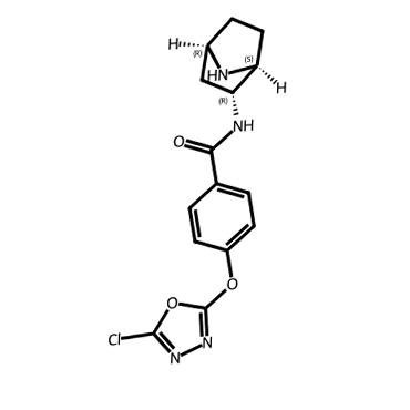 O=C(N[C@@H]1C[C@H]2CC[C@@H]1N2)c1ccc(Oc2nnc(Cl)o2)cc1